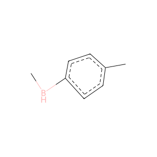 CBc1ccc(C)cc1